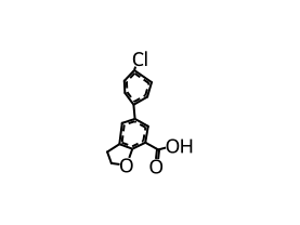 O=C(O)c1cc(-c2ccc(Cl)cc2)cc2c1OCC2